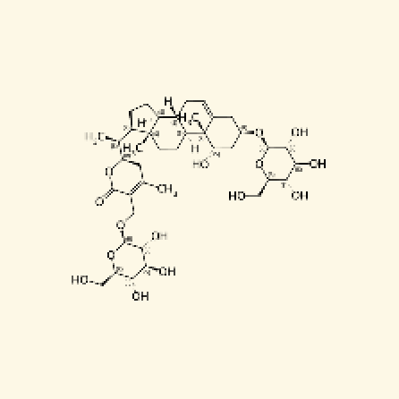 CC1=C(CO[C@@H]2O[C@H](CO)[C@@H](O)[C@H](O)[C@H]2O)C(=O)O[C@@H]([C@@H](C)[C@H]2CC[C@H]3[C@@H]4CC=C5C[C@@H](O[C@@H]6O[C@H](CO)[C@@H](O)[C@H](O)[C@H]6O)C[C@H](O)[C@]5(C)[C@H]4CC[C@]23C)C1